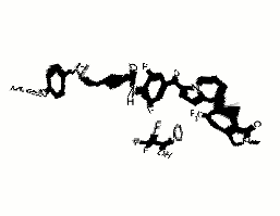 COC1CCC(NC/C=C/C(=O)Nc2c(F)cc(C(=O)c3ccc4c(-c5cc6c(cc5C(F)(F)F)CN(C)C6=O)cccn34)cc2F)CC1.O=C(O)C(F)(F)F